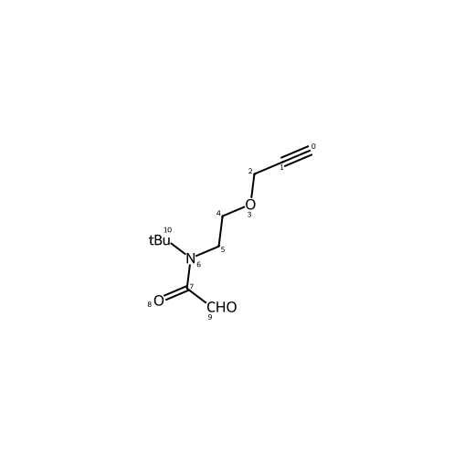 C#CCOCCN(C(=O)C=O)C(C)(C)C